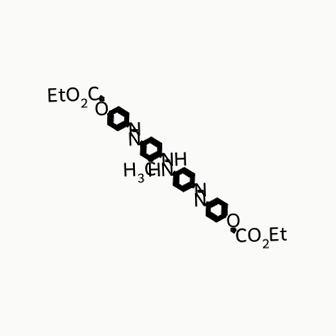 CCOC(=O)COc1ccc(N=Nc2ccc(NNc3ccc(N=Nc4ccc(OCC(=O)OCC)cc4)cc3C)cc2)cc1